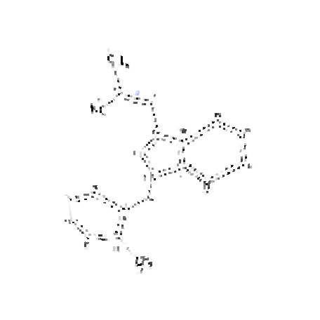 C/C(C#N)=C/c1cn(Cc2ccccc2C(F)(F)F)c2ncccc12